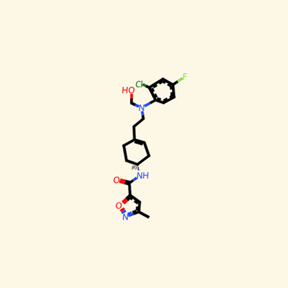 Cc1cc(C(=O)N[C@H]2CC=C(CCN(CO)c3ccc(F)cc3Cl)CC2)on1